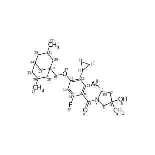 CC(=O)[C@@H]1CC(C)(O)CN1C(=O)c1cc(C2CC2)c(OCC23CC(C)CC(CC(C)C2)C3)cc1F